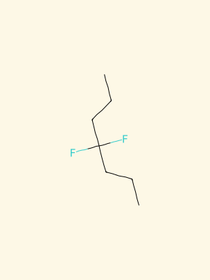 CCCC(F)(F)CCC